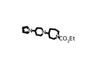 CCOC(=O)N1CCCC(N2CCC(n3cccc3)CC2)CC1